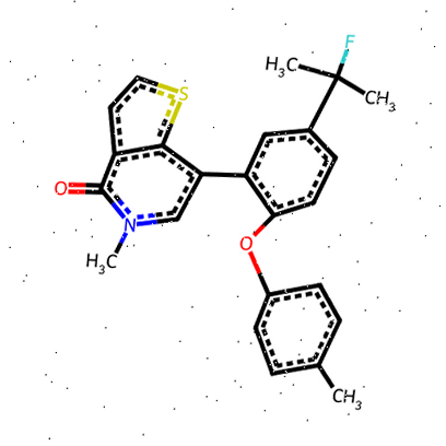 Cc1ccc(Oc2ccc(C(C)(C)F)cc2-c2cn(C)c(=O)c3ccsc23)cc1